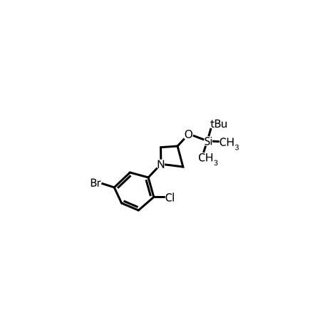 CC(C)(C)[Si](C)(C)OC1CN(c2cc(Br)ccc2Cl)C1